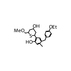 CCOc1ccc(Cc2cc(C3CC(O)CC(COC)S3)c(O)cc2C)cc1